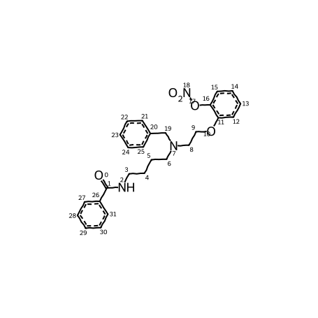 O=C(NCCCCN(CCOc1ccccc1O[N+](=O)[O-])Cc1ccccc1)c1ccccc1